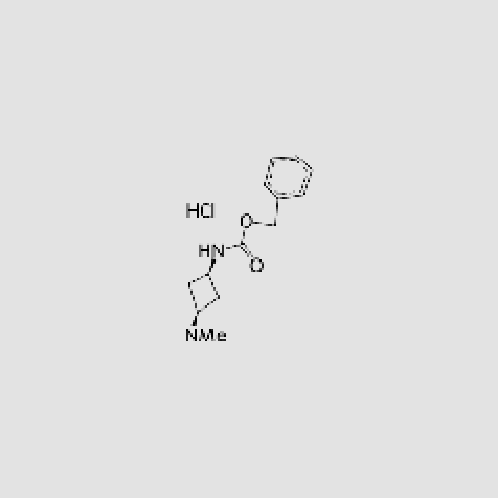 CN[C@H]1C[C@@H](NC(=O)OCc2ccccc2)C1.Cl